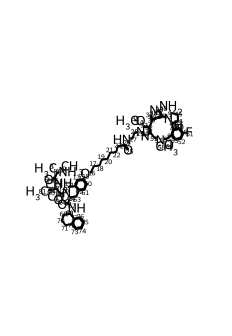 CN[C@@H](C)C(=O)N[C@H](C(=O)N1Cc2cc(OCCCCCCCCC(=O)NCCn3nc4c(c3OC)-c3cnc(N)c(c3)N3CCC[C@@H]3c3cc(F)ccc3C(=O)N(C)C4)ccc2C[C@H]1C(=O)N[C@@H]1CCCc2ccccc21)C(C)(C)C